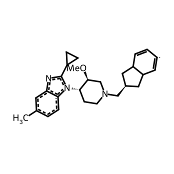 CO[C@H]1CN(C[C@@H]2CC3C=[C]C=CC3C2)CC[C@@H]1n1c(C2CC2)nc2cc(C)ccc21